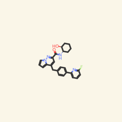 O=C(N[C@H]1CCCC[C@@H]1O)c1cc(Cc2ccc(-c3cccc(F)n3)cc2)c2cccn2n1